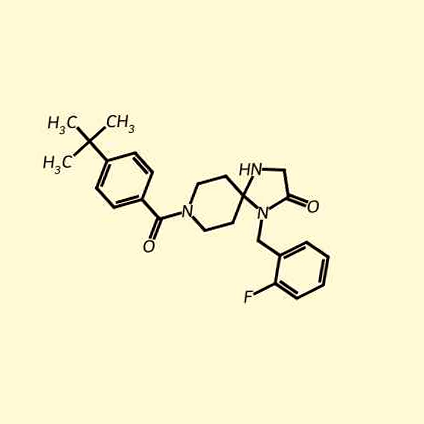 CC(C)(C)c1ccc(C(=O)N2CCC3(CC2)NCC(=O)N3Cc2ccccc2F)cc1